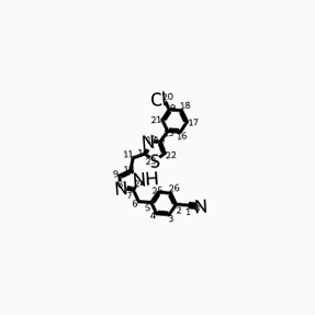 N#Cc1ccc(Cc2ncc(Cc3nc(-c4cccc(Cl)c4)cs3)[nH]2)cc1